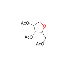 CC(=O)OCC1OCC(OC(C)=O)C1OC(C)=O